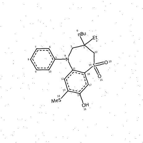 CCCCC1(CC)CN(c2ccccc2)c2cc(SC)c(O)cc2S(=O)(=O)C1